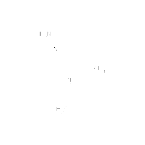 CCN1C=CN(N)C=C1C